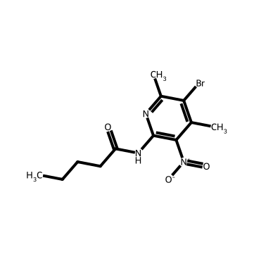 CCCCC(=O)Nc1nc(C)c(Br)c(C)c1[N+](=O)[O-]